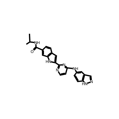 CC(C)NC(=O)c1ccc2cc(-c3nccc(Nc4ccc5[nH]ncc5c4)n3)[nH]c2c1